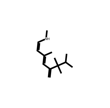 C=C(/C=C(C)/C=C\NC)C(C)(C)C(C)C